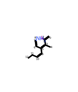 C=C(I)/C(C)=C(\C=C/N)/C=C\CC